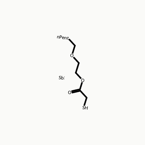 CCCCCCOCCOC(=O)CS.[Sb]